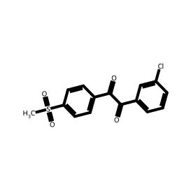 CS(=O)(=O)c1ccc(C(=O)C(=O)c2cccc(Cl)c2)cc1